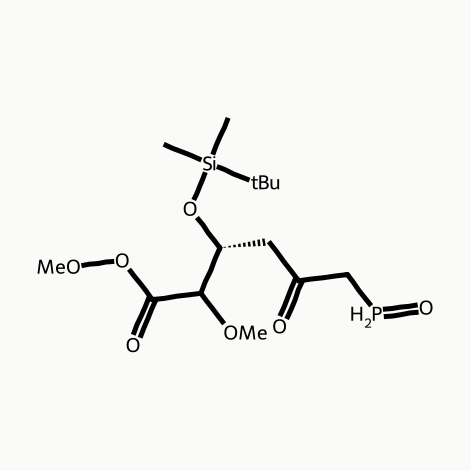 COOC(=O)C(OC)[C@@H](CC(=O)C[PH2]=O)O[Si](C)(C)C(C)(C)C